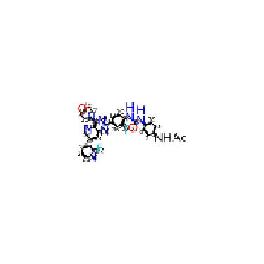 CC(=O)Nc1ccc(NC(=O)Nc2ccc(-c3nc(N4CCOCC4)c4ncc(-c5cccnc5F)cc4n3)cc2F)cc1